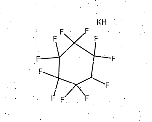 FC1C(F)(F)C(F)(F)C(F)(F)C(F)(F)C1(F)F.[KH]